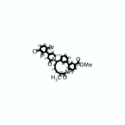 COC(=O)c1ccc2c(c1)-c1cccc(c1)C(N1CC=C(c3c(Br)ccc(Cl)c3F)CC1=O)CCCC(C)C(=O)N2